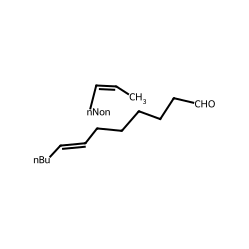 CCCC/C=C/CCCCCC=O.[CH2]CCCCCCCC/C=C\C